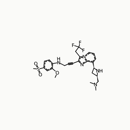 COc1cc(S(C)(=O)=O)ccc1NCC#Cc1nc2c([C@@H]3C[C@H](CN(C)C)N3)cccn2c1CC(F)(F)F